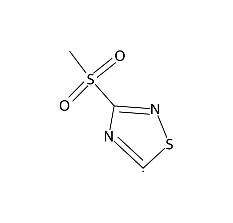 CS(=O)(=O)c1n[c]sn1